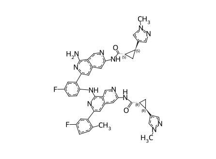 Cc1ccc(F)cc1-c1cc2cc(NC(=O)[C@@H]3C[C@H]3c3cnn(C)c3)ncc2c(Nc2ccc(F)cc2-c2cc3cc(NC(=O)[C@H]4C[C@@H]4c4cnn(C)c4)ncc3c(N)n2)n1